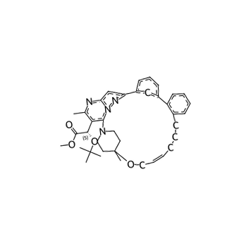 COC(=O)[C@@H](OC(C)(C)C)c1c(C)nc2cc3nn2c1N1CCC(C)(CC1)OCC=CCCCc1ccccc1-c1cccc-3c1